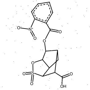 O=C(OC1C2CC3C1OS(=O)(=O)C3C2C(=O)O)c1ccccc1[N+](=O)[O-]